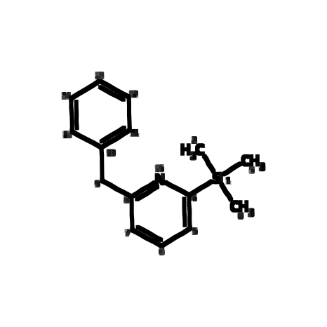 C[Si](C)(C)c1cccc(Cc2ccccc2)n1